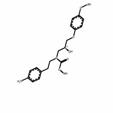 CCCCOc1ccc(OC[C@@H](O)CN(CCc2ccc(N)cc2)C(=O)OC(C)(C)C)cc1